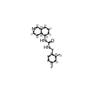 Cc1ccc(CNC(=O)Nc2cccc3cnccc23)c(C)c1